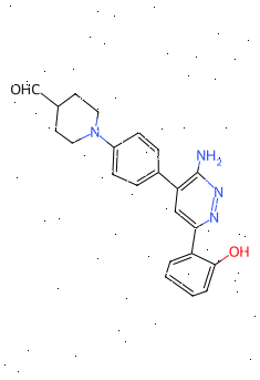 Nc1nnc(-c2ccccc2O)cc1-c1ccc(N2CCC(C=O)CC2)cc1